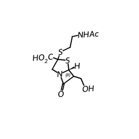 CC(=O)NCCSC1(C(=O)O)CN2C(=O)C(CO)[C@H]2S1